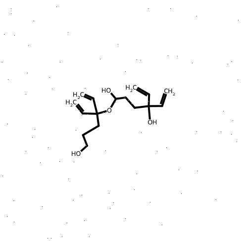 C=CC(O)(C=C)CCC(O)OC(C=C)(C=C)CCCO